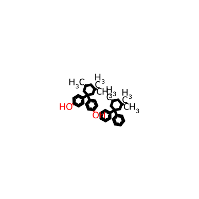 CC1CC(C)(C)CC(c2ccc(O)cc2)(c2ccc(O)cc2)C1.CC1CC(C)(C)CC(c2ccccc2)(c2ccccc2)C1